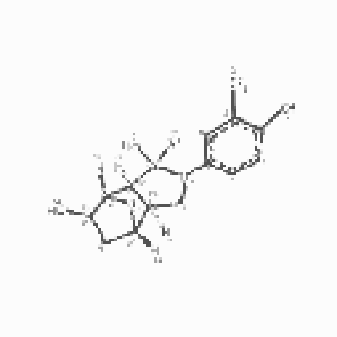 N#Cc1ccc(N2C[C@@H]3[C@@H]([C@@H]4O[C@H]3C[C@H]4O)S2(O)O)cc1C(F)(F)F